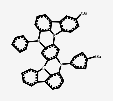 CC(C)(C)c1ccc(N2c3cc4c(cc3B3c5ccccc5-c5cccc2c53)N(c2ccccc2)c2cccc3c2B4c2ccc(C(C)(C)C)cc2-3)cc1